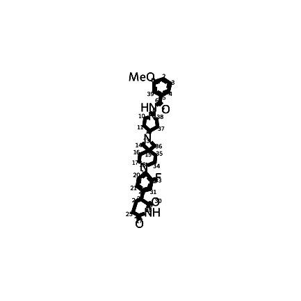 COc1cccc(C(=O)NN2CCC(N3CC4(CCN(c5ccc(C6CCC(=O)NC6=O)cc5F)CC4)C3)CC2)c1